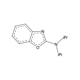 CC(C)N(c1nc2ccccc2o1)C(C)C